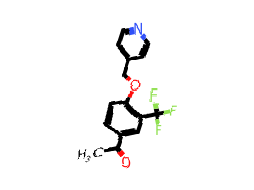 CC(=O)c1ccc(OCc2ccncc2)c(C(F)(F)F)c1